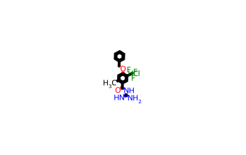 Cc1cc(OCc2ccccc2)c(C(F)(F)F)cc1C(=O)NC(=N)N.Cl